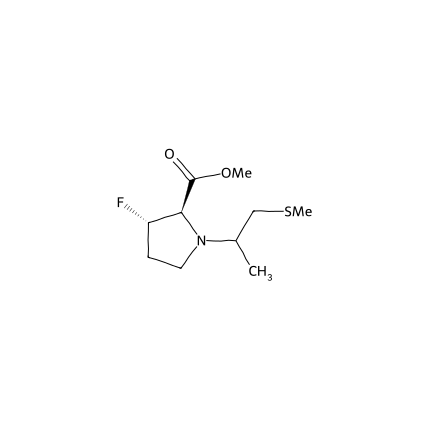 COC(=O)[C@@H]1[C@@H](F)CCN1C(C)CSC